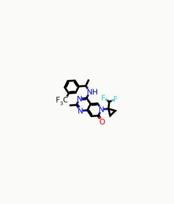 Cc1nc(NC(C)c2cccc(C(F)(F)F)c2)c2cn(C3(C(F)F)CC3)c(=O)cc2n1